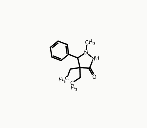 CCC1(CC)C(=O)NN(C)C1c1ccccc1